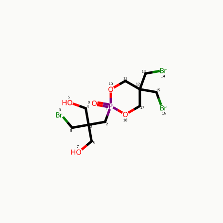 O=P1(CC(CO)(CO)CBr)OCC(CBr)(CBr)CO1